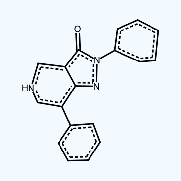 O=c1c2c[nH]cc(-c3ccccc3)c-2nn1-c1ccccc1